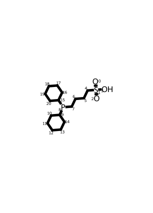 O=S(=O)(O)CCCCP(C1CCCCC1)C1CCCCC1